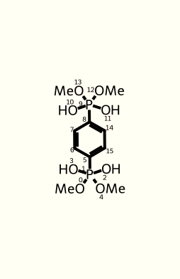 COP(O)(O)(OC)c1ccc(P(O)(O)(OC)OC)cc1